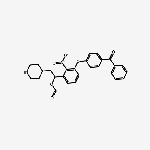 O=COC(CC1CCNCC1)c1cccc(Oc2ccc(C(=O)c3ccccc3)cc2)c1[N+](=O)[O-]